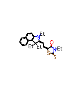 CCN1C(=O)/C(=C\C=C2\N(CC)c3ccc4ccccc4c3C2(CC)CC)SC1=S